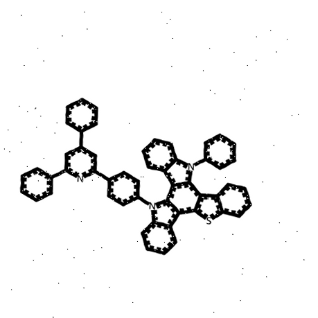 c1ccc(-c2cc(-c3ccccc3)nc(-c3ccc(-n4c5ccccc5c5c6sc7ccccc7c6c6c(c7ccccc7n6-c6ccccc6)c54)cc3)c2)cc1